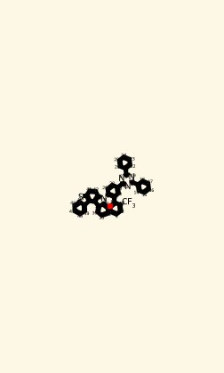 FC(F)(F)c1ccccc1-c1cc(-c2nc(-c3ccccc3)nc(-c3ccccc3)n2)ccc1-n1c2ccccc2c2c3c(ccc21)sc1ccccc13